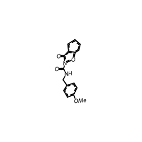 COc1ccc(CNC(=O)n2oc3ccccc3c2=O)cc1